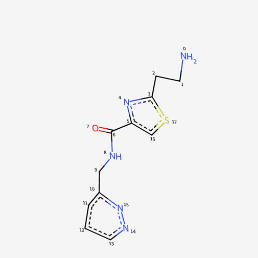 NCCc1nc(C(=O)NCc2cccnn2)cs1